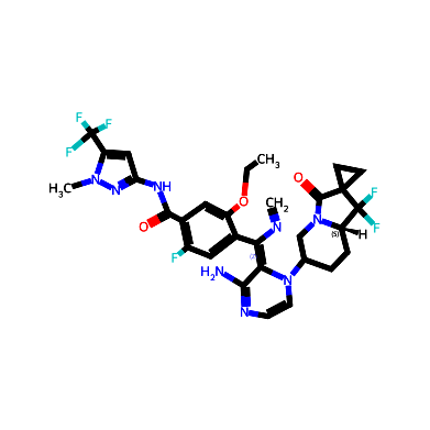 C=N/C(=C1/C(N)=NC=CN1C1CC[C@@H]2N(C1)C(=O)C1(CC1)C2(F)F)c1cc(F)c(C(=O)Nc2cc(C(F)(F)F)n(C)n2)cc1OCC